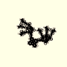 C=C(C)C(=O)OCCNC(=O)OCC(C)(COC(=O)NCCOC(=O)C(=C)C)C(=O)OCC(COc1ccc(C2(c3ccc(OCC(COC(=O)C(C)(COC(=O)NCCOC(=O)C(=C)C)COC(=O)NCCOC(=O)C(=C)C)OC(=O)NCCOC(=O)C(=C)C)cc3)c3ccccc3-c3ccccc32)cc1)OC(=O)NCCOC(=O)C(=C)C